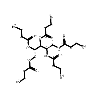 O=C(CCS)OC[C@H](OC(=O)CCS)[C@@H](OC(=O)CCS)[C@@H](COC(=O)CCS)OC(=O)CCS